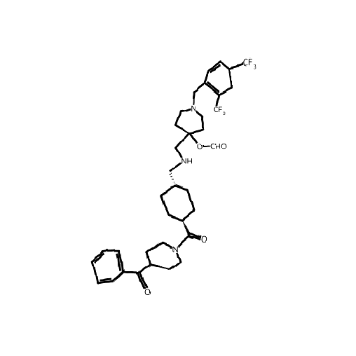 O=COC1(CNC[C@H]2CC[C@H](C(=O)N3CCC(C(=O)c4ccccc4)CC3)CC2)CCN(CC2=C(C(F)(F)F)CC(C(F)(F)F)C=C2)CC1